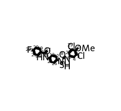 COc1c(Cl)cc(NC(=O)N(S)c2ccc(NC(=O)c3ccc(F)cc3)cc2)cc1Cl